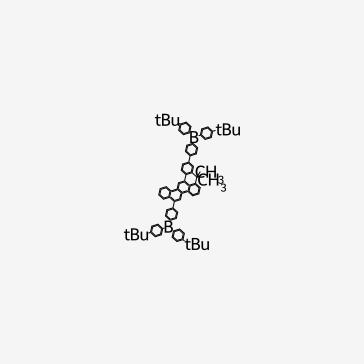 CC(C)(C)c1ccc(B(c2ccc(-c3ccc4c(c3)C(C)(C)c3cccc5c3c-4cc3c4ccccc4c(-c4ccc(B(c6ccc(C(C)(C)C)cc6)c6ccc(C(C)(C)C)cc6)cc4)cc53)cc2)c2ccc(C(C)(C)C)cc2)cc1